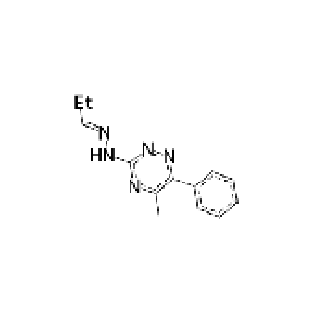 CC/C=N/Nc1nnc(-c2ccccc2)c(C)n1